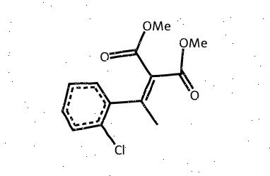 COC(=O)C(C(=O)OC)=C(C)c1ccccc1Cl